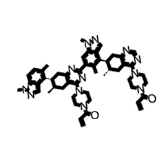 C=CC(=O)N1CCN(c2ncnc3c2C[C@H](C)[C@@H](c2c(C)c(-c4nc5c(c(N6CCN(C(=O)C=C)CC6)n4)C[C@@H](C)[C@H](c4c(C)ccc6c4cnn6C)C5)cc4c2cnn4C)C3)CC1